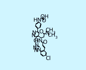 CN(C)C(=O)CC(NC(=O)C=Cc1cc(Cl)ccc1-n1cnnn1)c1cc(-c2ccc(NC(=O)O)cc2)nnc1Cl